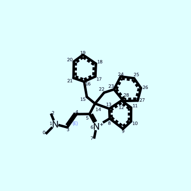 CN(C)/C=C/C1=[N+](C)c2ccccc2C1(Cc1ccccc1)Cc1ccccc1